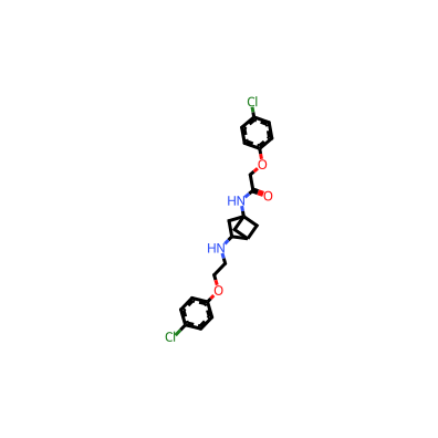 O=C(COc1ccc(Cl)cc1)NC12CC(C1)C(NCCOc1ccc(Cl)cc1)C2